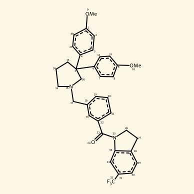 COc1ccc(C2(c3ccc(OC)cc3)CCCN(Cc3cccc(C(=O)N4CCc5ccc(C(F)(F)F)cc54)c3)C2)cc1